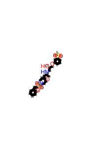 CS(=O)(=O)c1cccc(OCC(O)CNC2COC3(CCN(S(=O)(=O)c4cc5ccccc5o4)CC3)C2)c1